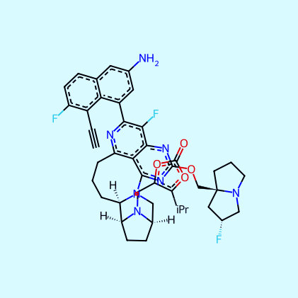 C#Cc1c(F)ccc2cc(N)cc(-c3nc4c5c(nc(OC[C@@]67CCCN6C[C@H](F)C7)nc5c3F)N3C[C@H]5CC[C@@H]([C@H]3CCC4)N5Cc3oc(=O)oc3C(C)C)c12